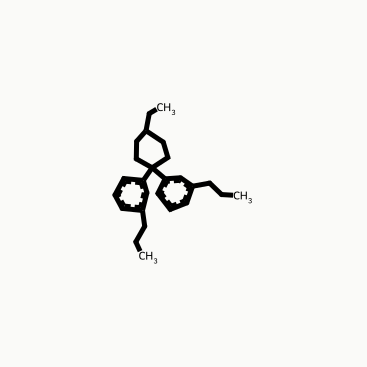 CCCc1cccc(C2(c3cccc(CCC)c3)CCC(CC)CC2)c1